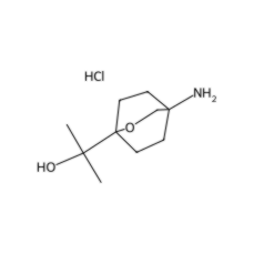 CC(C)(O)C12CCC(N)(CC1)CO2.Cl